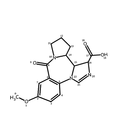 COc1ccc2c(c1)C(=O)N1CCCC1C1C(C(=O)O)N=CN21